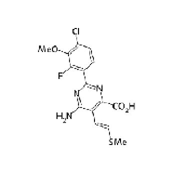 COc1c(Cl)ccc(-c2nc(N)c(C=CSC)c(C(=O)O)n2)c1F